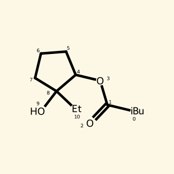 CCC(C)C(=O)OC1CCCC1(O)CC